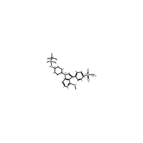 COc1nccc2c1c(-c1ccc(S(N)(=O)=O)cc1)cn2C1CCC(O[Si](C)(C)C(C)(C)C)CC1